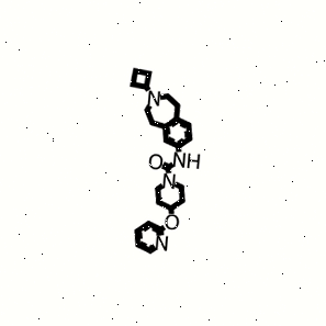 O=C(Nc1ccc2c(c1)CCN(C1CCC1)CC2)N1CCC(Oc2ccccn2)CC1